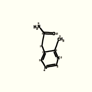 Cc1n[c]ncc1CC(N)=O